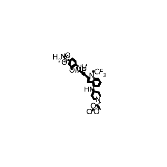 COc1cc(S(N)(=O)=O)ccc1NCC#Cc1cc2c(NC3CCN(C[C@@H]4COC(=O)O4)CC3)cccc2n1CC(F)(F)F